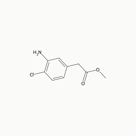 COC(=O)Cc1ccc(Cl)c(N)c1